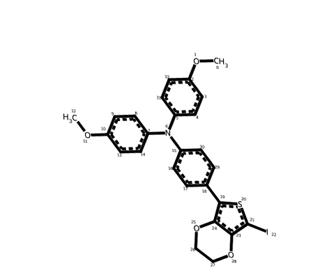 COc1ccc(N(c2ccc(OC)cc2)c2ccc(-c3sc(I)c4c3OCCO4)cc2)cc1